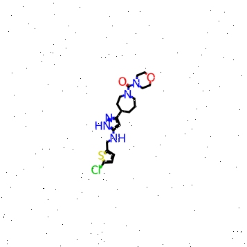 O=C(N1CCOCC1)N1CCCC(c2cc(NCc3ccc(Cl)s3)[nH]n2)CC1